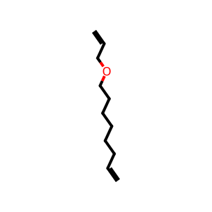 C=CCCCCCCOCC=C